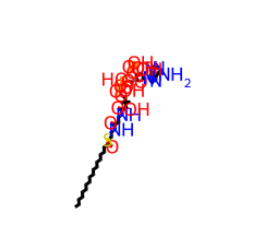 CCCCCCCCCCCCCCCCCC(=O)SCCNC(=O)CCNC(=O)[C@H](O)C(C)(C)COP(=O)(O)OP(=O)(O)OC[C@H]1O[C@@H](n2cnc3c(N)ncnc32)[C@H](O)[C@@H]1OP(=O)(O)O